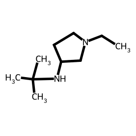 CCN1CCC(NC(C)(C)C)C1